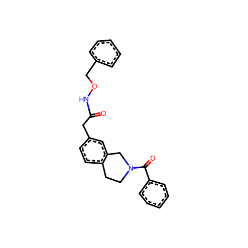 O=C(Cc1ccc2c(c1)CN(C(=O)c1ccccc1)CC2)NOCc1ccccc1